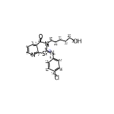 O=c1c2cccnc2s/c(=N\c2ccc(Cl)cc2)n1CCCCCO